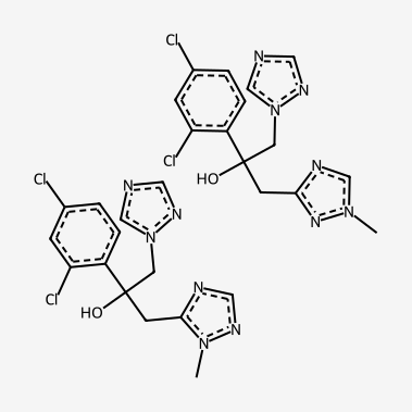 Cn1cnc(CC(O)(Cn2cncn2)c2ccc(Cl)cc2Cl)n1.Cn1ncnc1CC(O)(Cn1cncn1)c1ccc(Cl)cc1Cl